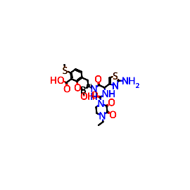 CCN1CCN(C(=O)NC(C(=O)N[C@H]2Cc3ccc(SC)c(C(=O)O)c3OB2O)c2csc(N)n2)C(=O)C1=O